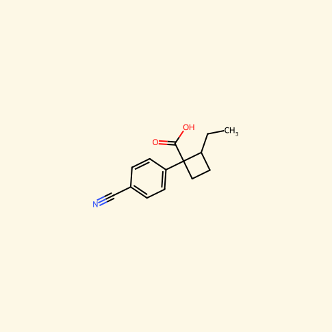 CCC1CCC1(C(=O)O)c1ccc(C#N)cc1